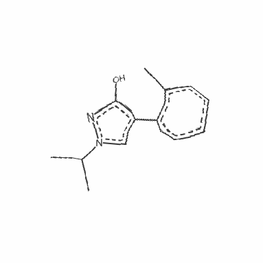 Cc1ccccc1-c1cn(C(C)C)nc1O